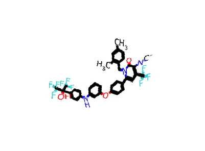 [C-]#[N+]c1c(C(F)(F)F)cc(-c2ccc(Oc3cccc(Nc4ccc(C(O)(C(F)(F)F)C(F)(F)F)cc4)c3)cc2)n(Cc2ccc(C)cc2C)c1=O